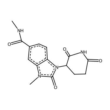 CNC(=O)c1ccc2c(c1)n(C)c(=O)n2C1CCC(=O)NC1=O